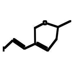 CC1CC=C(C=CI)CO1